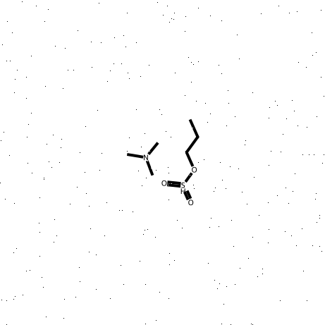 CCCO[SH](=O)=O.CN(C)C